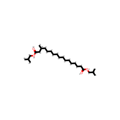 CC(C)COC(=O)CCCCCCCCCCCCCC(C)CC(=O)OCC(C)C